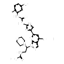 O=C(Nc1ncc(-c2cc(C(=O)O)c3cnn(C(CNC(=O)C(F)(F)F)N4CCOCC4)c3n2)s1)Nc1cc(C(F)(F)F)ccc1F